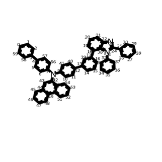 c1ccc(-c2ccc(N(c3ccc(-c4cccc(-c5cccc6nc(-c7ccccc7)n(-c7ccccc7)c56)c4)cc3)c3cc4ccccc4c4ccccc34)cc2)cc1